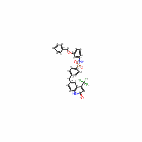 O=c1cc(C(F)(F)F)c2cc(Cc3ccc(S(=O)(=O)Nc4cccc(OCc5ccccc5)c4)cc3)ccc2[nH]1